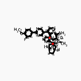 COc1ccc(-c2ncc(-c3cnn4c(N)c(S(C)(=O)=O)c([C@@H]5C[C@H]6CC[C@@H](C5)N6C(=O)c5nnc[nH]5)nc34)cn2)cc1F